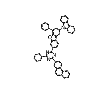 c1ccc(-c2nc(-c3ccc4c(ccc5ccccc54)c3)nc(-c3ccc4c(c3)oc3c(-c5ccccc5)cc(-n5c6ccccc6c6ccccc65)cc34)n2)cc1